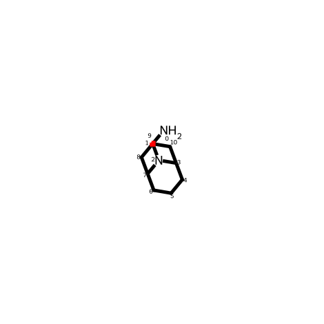 NCN1C2CCCC1CCC2